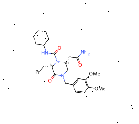 COc1ccc(CN2C[C@@H](CC(N)=O)N(C(=O)NC3CCCCC3)[C@@H](CC(C)C)C2=O)cc1OC